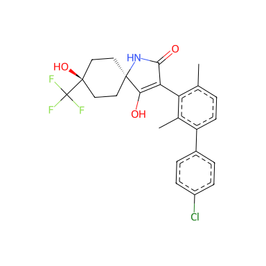 Cc1ccc(-c2ccc(Cl)cc2)c(C)c1C1=C(O)[C@]2(CC[C@@](O)(C(F)(F)F)CC2)NC1=O